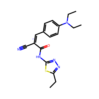 CCc1nnc(NC(=O)/C(C#N)=C\c2ccc(N(CC)CC)cc2)s1